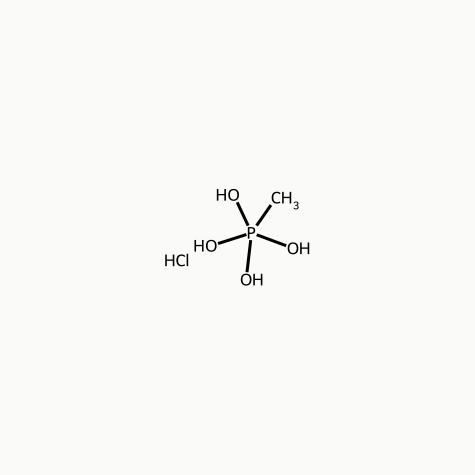 CP(O)(O)(O)O.Cl